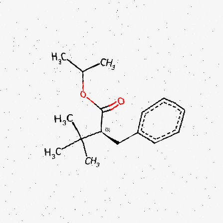 CC(C)OC(=O)[C@@H](Cc1ccccc1)C(C)(C)C